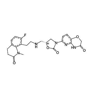 CN1C(=O)CCc2ccc(F)c(CCNC[C@@H]3CN(c4ccc5c(n4)NC(=O)CO5)C(=O)O3)c21